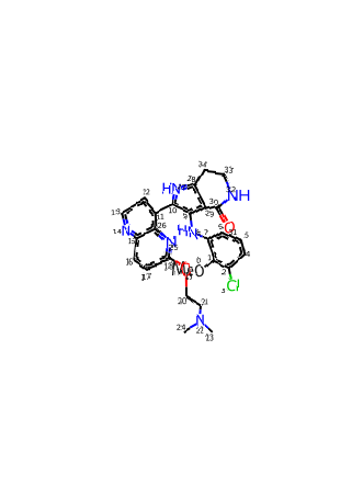 COc1c(Cl)cccc1Nc1c(-c2ccnc3ccc(OCCN(C)C)nc23)[nH]c2c1C(=O)NCC2